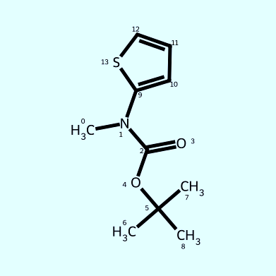 CN(C(=O)OC(C)(C)C)c1cccs1